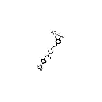 CC1Cc2cc(CCN3CCN(C(=O)Cc4ccc(-n5cncn5)cc4)CC3)ccc2C(=O)O1